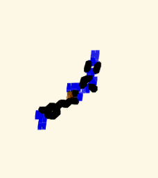 Cc1nc(Nc2ncc(C=Cc3ccc4[nH]ncc4c3)s2)cc(N2CCNCC2)n1